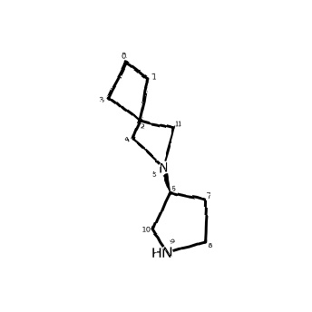 C1CC2(C1)CN([C@H]1CCNC1)C2